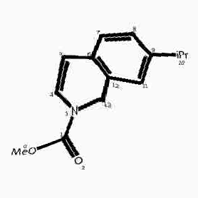 COC(=O)N1C=Cc2ccc(C(C)C)cc2C1